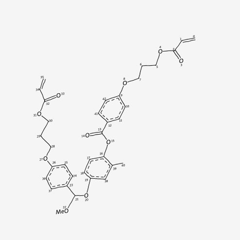 C=CC(=O)OCCCOc1ccc(C(=O)Oc2ccc(OC(OC)c3ccc(OCCCOC(=O)C=C)cc3)cc2C)cc1